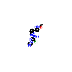 C=CC(=O)Nc1cccc(-c2cccc3cnc(Nc4cnc(N5CCN(C)CC5)c(Cl)c4)nc23)c1